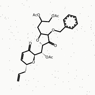 C=CC[C@@H]1C=CC(=O)[C@@H]([C@@H](OC(C)=O)[C@@H]2OC(CC(COC(C)=O)OC(C)=O)C(OCc3ccccc3)C2=O)O1